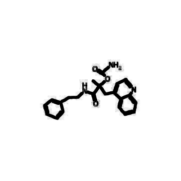 CC(Cc1ccnc2ccccc12)(OC(N)=O)C(=O)NCCc1ccccc1